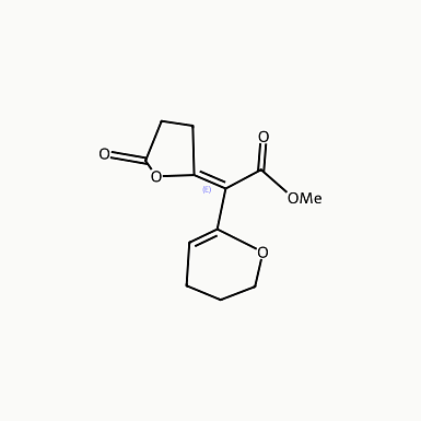 COC(=O)/C(C1=CCCCO1)=C1\CCC(=O)O1